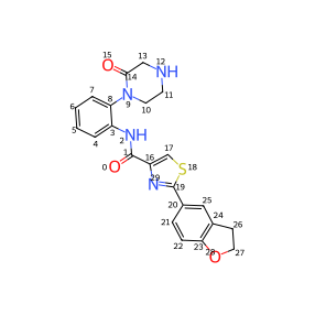 O=C(Nc1ccccc1N1CCNCC1=O)c1csc(-c2ccc3c(c2)CCO3)n1